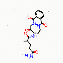 C[C](CCC(N)=O)C(=O)N[C@H]1CCn2c(=O)c3ccccc3c(=O)n2CC1=O